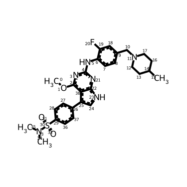 COc1nc(Nc2ccc(CN3CCC(C)CC3)cc2F)nc2[nH]cc(-c3ccc(S(=O)(=O)N(C)C)cc3)c12